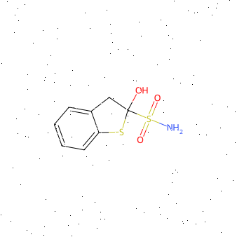 NS(=O)(=O)C1(O)Cc2ccccc2S1